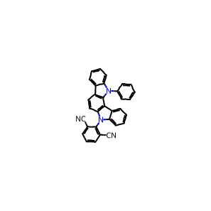 N#Cc1cccc(C#N)c1-n1c2ccccc2c2c1ccc1c3ccccc3n(-c3ccccc3)c12